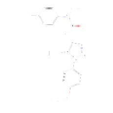 CN(C(=O)Oc1cnn(-c2ccc(OC(F)(F)F)cc2)c1C(F)(F)F)c1ccc(F)cc1